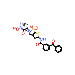 CC(C)[C@H](C(=O)NO)N1CC2=C(SC(NC(=O)c3cccc(C(=O)c4ccccc4)c3)C2)S1(=O)=O